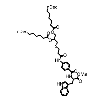 CCCCCCCCCCCCCCCC(=O)OCC(CSCCC(=O)Nc1ccc(C(=O)NC(Cc2c[nH]c3ccccc23)C(=O)OC)cc1)OC(=O)CCCCCCCCCCCCCCC